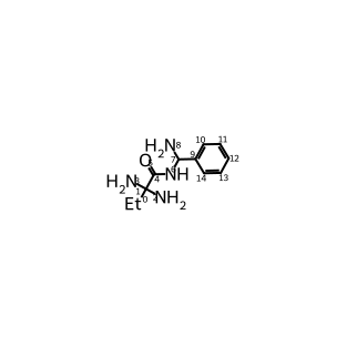 CCC(N)(N)C(=O)NC(N)c1ccccc1